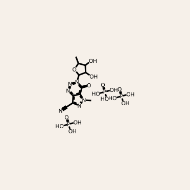 CC1OC(n2nnc3c(C#N)nn(C)c3c2=O)C(O)C1O.O=P(O)(O)O.O=P(O)(O)O.O=P(O)(O)O